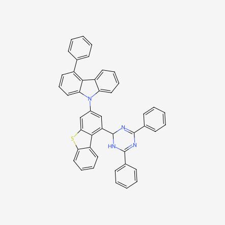 c1ccc(C2=NC(c3cc(-n4c5ccccc5c5c(-c6ccccc6)cccc54)cc4sc5ccccc5c34)NC(c3ccccc3)=N2)cc1